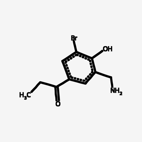 CCC(=O)c1cc(Br)c(O)c(CN)c1